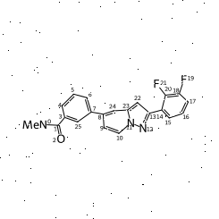 CNC(=O)c1cccc(-c2ccn3nc(-c4cccc(F)c4F)cc3c2)c1